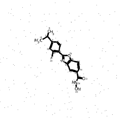 CC(C)c1ccc(-c2nc3cc(C(=O)NO)ccc3o2)c(F)c1